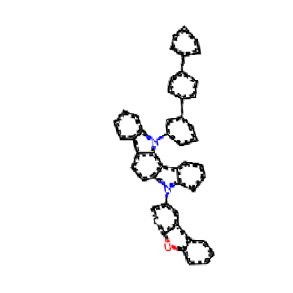 c1ccc(-c2ccc(-c3cccc(-n4c5ccccc5c5ccc6c(c7ccccc7n6-c6ccc7oc8ccccc8c7c6)c54)c3)cc2)cc1